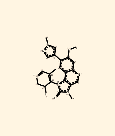 COc1cc2ncc3c(c2cc1-c1cnn(C)c1)n(C1=C(C)C=NCC1F)c(=O)n3C